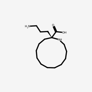 NCCC[C@]1(C(=O)O)CCCCCCCCCCCN1